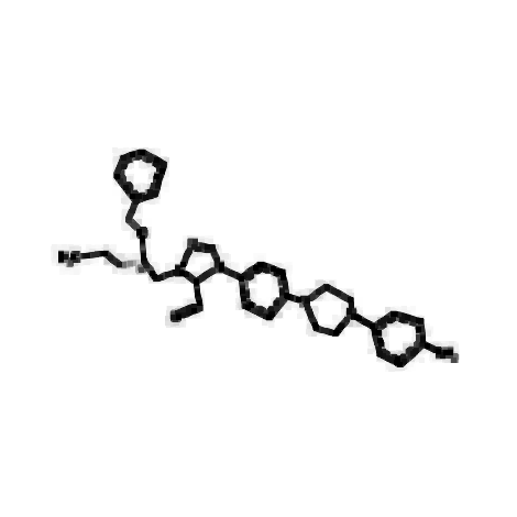 CCC[C@@H](CN1N=CN(c2ccc(N3CCN(c4ccc(N)cc4)CC3)cc2)C1C=O)OCc1ccccc1